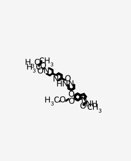 CCOCCOc1cc2c(ccn2C(=O)NC)cc1Oc1ccnc(NC(=O)c2ccc(C3CCN(C(=O)OC(C)(C)C)CC3)nc2)c1